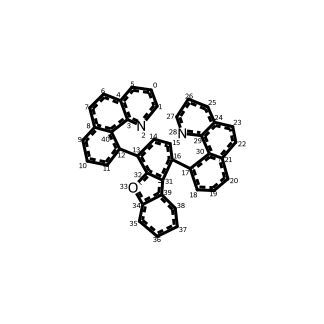 c1cnc2c(c1)ccc1cccc(-c3ccc(-c4cccc5ccc6cccnc6c45)c4c3oc3ccccc34)c12